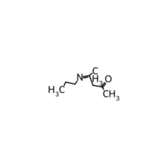 CCCN=C(C)CC(C)=O